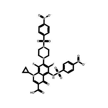 O=C(O)c1cn(C2CC2)c2c(F)c(N3CCN(S(=O)(=O)c4ccc([N+](=O)[O-])cc4)CC3)c(F)c(NS(=O)(=O)c3ccc([N+](=O)[O-])cc3)c2c1=O